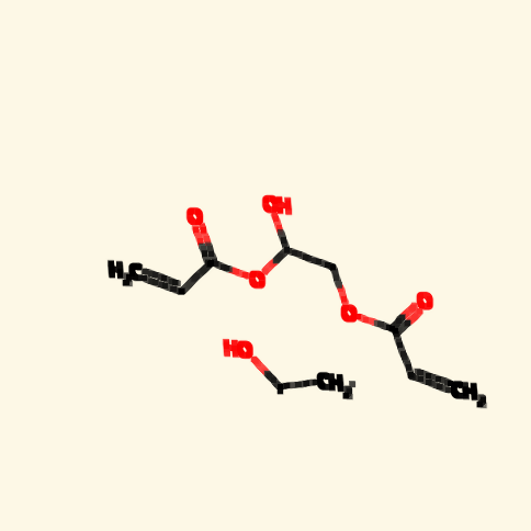 C=CC(=O)OCC(O)OC(=O)C=C.[CH2][CH]O